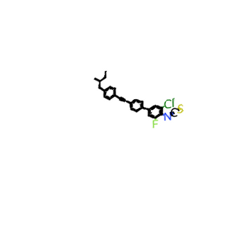 CCC(C)Cc1ccc(C#Cc2ccc(-c3cc(F)c(N=C=S)c(Cl)c3)cc2)cc1